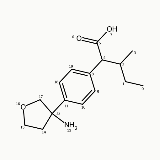 CCC(C)C(C(=O)O)c1ccc(C2(N)CCOC2)cc1